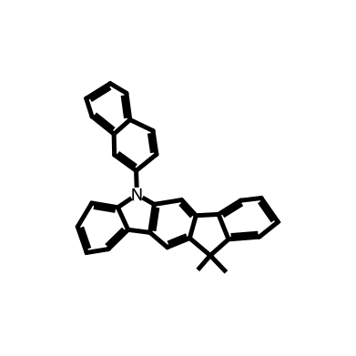 CC1(C)c2ccccc2-c2cc3c(cc21)c1ccccc1n3-c1ccc2ccccc2c1